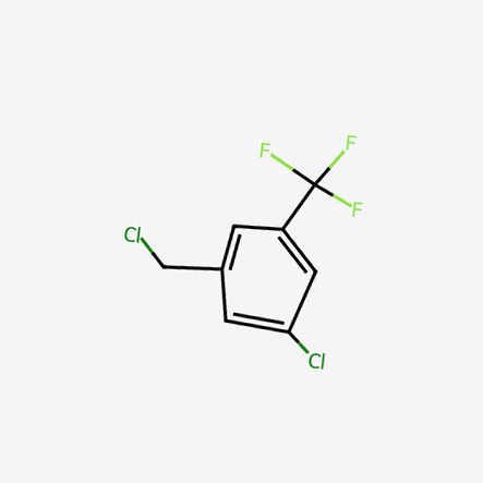 FC(F)(F)c1cc(Cl)cc(CCl)c1